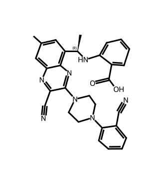 Cc1cc([C@@H](C)Nc2ccccc2C(=O)O)c2nc(N3CCN(c4ccccc4C#N)CC3)c(C#N)nc2c1